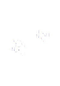 NC(=O)NC1CCC(Oc2ccnc3[nH]cc(Cl)c23)CC1